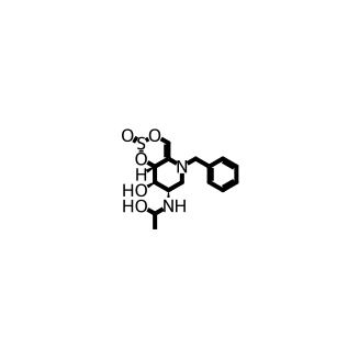 CC(O)N[C@H]1CN(Cc2ccccc2)C2=COS(=O)O[C@H]2[C@@H]1O